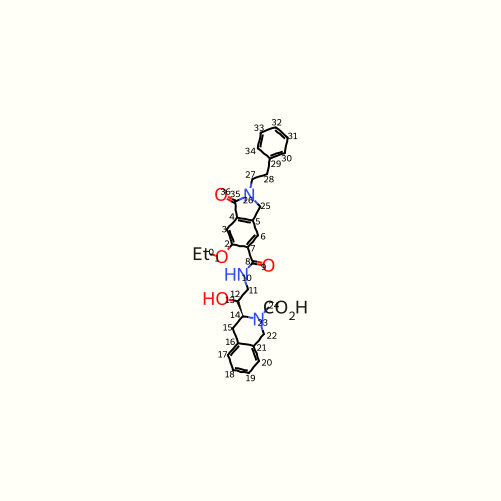 CCOc1cc2c(cc1C(=O)NCC(O)[C@@H]1Cc3ccccc3CN1C(=O)O)CN(CCc1ccccc1)C2=O